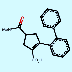 CNC(=O)C1CC(C(=O)O)=C(c2ccccc2-c2ccccc2)C1